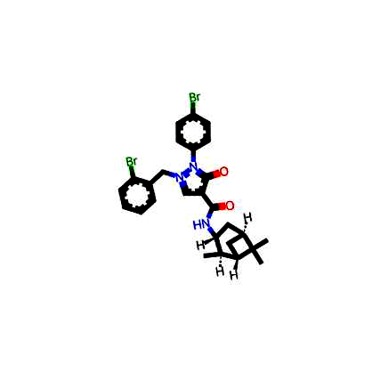 C[C@H]1[C@H](NC(=O)c2cn(Cc3ccccc3Br)n(-c3ccc(Br)cc3)c2=O)C[C@@H]2C[C@@H]1C2(C)C